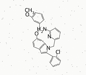 COc1cccc(COc2ccc3cc(-c4ccccc4Cl)n(Cc4cccc(N)n4)c3c2)c1